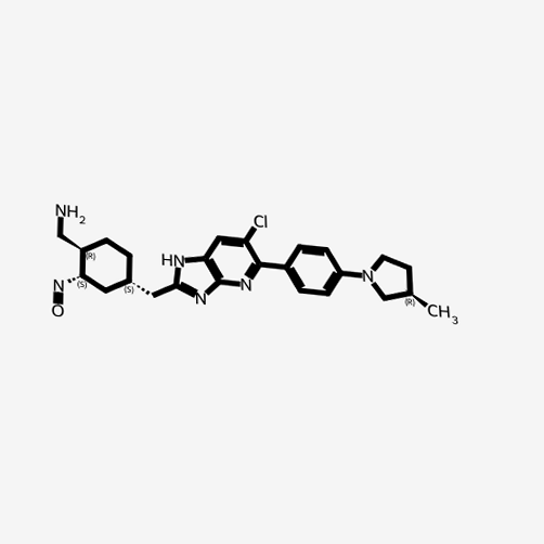 C[C@@H]1CCN(c2ccc(-c3nc4nc(C[C@H]5CC[C@H](CN)[C@@H](N=O)C5)[nH]c4cc3Cl)cc2)C1